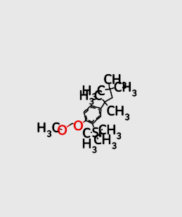 COCOc1ccc(C(C)(C)CC(C)(C)C)cc1[Si](C)(C)C